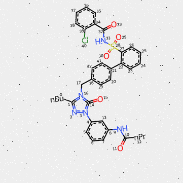 CCCCc1nn(-c2cccc(NC(=O)CCC)c2)c(=O)n1Cc1ccc(-c2ccccc2S(=O)(=O)NC(=O)c2ccccc2Cl)cc1